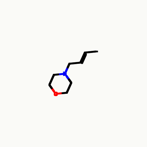 [CH2]C=CCN1CCOCC1